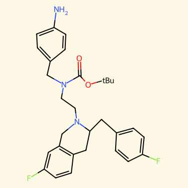 CC(C)(C)OC(=O)N(CCN1Cc2cc(F)ccc2CC1Cc1ccc(F)cc1)Cc1ccc(N)cc1